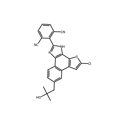 CC(C)(O)Cc1ccc2c(c1)c1cc(Cl)sc1c1[nH]c(-c3c(C#N)cccc3C#N)nc21